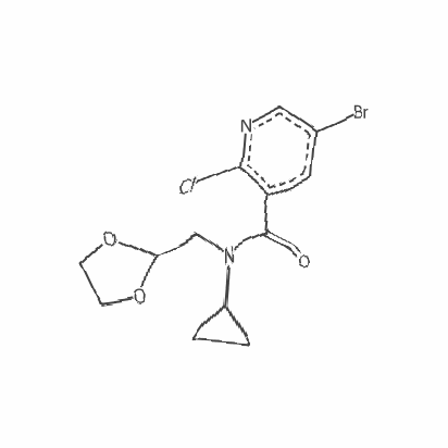 O=C(c1cc(Br)cnc1Cl)N(CC1OCCO1)C1CC1